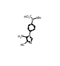 CC(C)(C)N(C(=O)O)c1ccc(-n2cnc(C#N)c2N)cc1